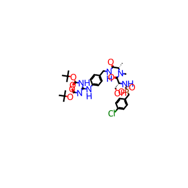 C[C@@H](C(=O)NCc1ccc(N/C(=N/C(=O)OC(C)(C)C)NC(=O)OC(C)(C)C)cc1)N(C)C(=O)[C@@H](CO)NS(=O)(=O)Cc1ccc(Cl)cc1